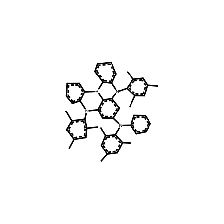 Cc1cc(C)c(N(c2ccccc2)c2cc3c4c(c2)N(c2c(C)cc(C)cc2C)c2ccccc2B4c2ccccc2N3c2c(C)cc(C)cc2C)c(C)c1